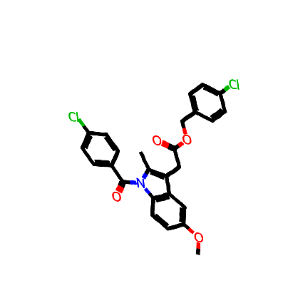 COc1ccc2c(c1)c(CC(=O)OCc1ccc(Cl)cc1)c(C)n2C(=O)c1ccc(Cl)cc1